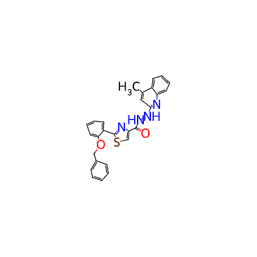 Cc1cc(NNC(=O)c2csc(-c3ccccc3OCc3ccccc3)n2)nc2ccccc12